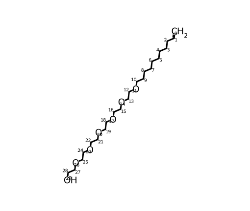 C=CCCCCCCCCCOCCOCCOCCOCCOCCOCCO